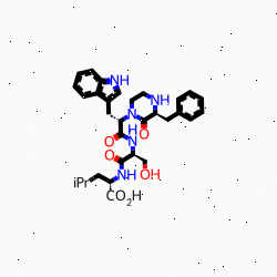 CC(C)C[C@H](NC(=O)[C@H](CO)NC(=O)[C@H](Cc1c[nH]c2ccccc12)N1CCN[C@@H](Cc2ccccc2)C1=O)C(=O)O